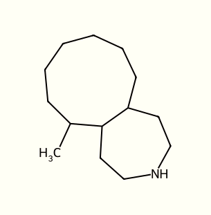 CC1CCCCCCC2CCNCCC12